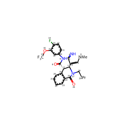 CN/C=C(\C=N)[C@@H]1[C@@H](C(=O)Nc2ccc(F)c(OC(F)(F)F)c2)c2ccccc2C(=O)N1CC(C)C